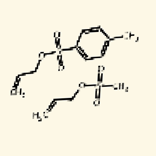 C=CCOS(=O)(=O)c1ccc(C)cc1.C=CCOS(C)(=O)=O